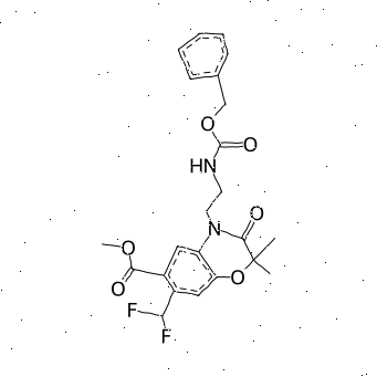 COC(=O)c1cc2c(cc1C(F)F)OC(C)(C)C(=O)N2CCNC(=O)OCc1ccccc1